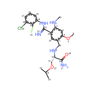 CNc1cc(OC)c(CN[C@@H](COC(C)C)C(N)=O)cc1C(=N)Nc1cccc(Cl)c1F